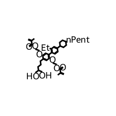 C=C(C)C(=O)OCCOc1cc(-c2ccc(C3CCC(CCCCC)CC3)cc2CC)c(OCCOC(=O)C(=C)C)cc1CCCC(CO)CO